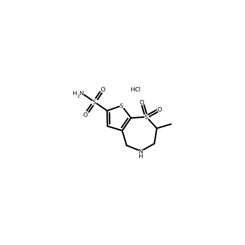 CC1CNCc2cc(S(N)(=O)=O)sc2S1(=O)=O.Cl